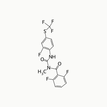 CN(C(=O)Nc1ccc(SC(F)(F)F)cc1F)C(=O)c1c(F)cccc1F